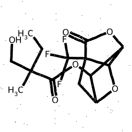 CCC(C)(CO)C(=O)OC1C2CC3(C(F)(F)F)C(=O)OC1C3O2